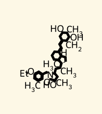 C=C1/C(=C\C=C2/CCC[C@]3(C)[C@@H]([C@H](C)CC4CC(C)(O)C(=O)N4Cc4cc(C)cc(OCC)c4)CC[C@@H]23)C[C@@H](O)[C@H](C)[C@@H]1O